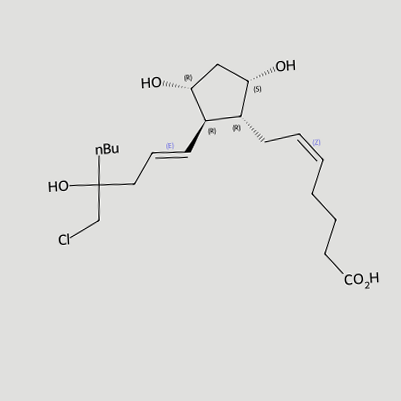 CCCCC(O)(CCl)C/C=C/[C@@H]1[C@@H](C/C=C\CCCC(=O)O)[C@@H](O)C[C@H]1O